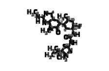 CNc1ncc2cc(-c3cc(NC(=O)Nc4nnc(C(C)(C)C)s4)c(F)cc3C)c(=O)n(C)c2n1